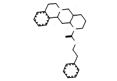 O=C(NCCc1ccccc1)N1CCC[C@@H]2CN3CCc4ccccc4[C@@H]3C[C@@H]21